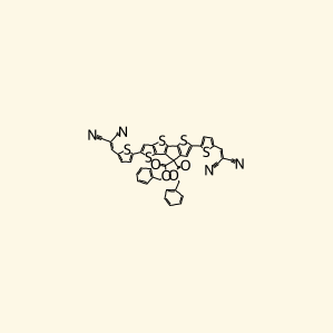 N#CC(C#N)=Cc1ccc(-c2cc3c(s2)-c2sc4cc(-c5ccc(C=C(C#N)C#N)s5)sc4c2C3(C(=O)OCc2ccccc2)C(=O)OCc2ccccc2)s1